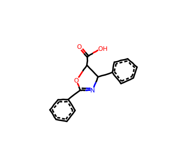 O=C(O)C1OC(c2ccccc2)=NC1c1ccccc1